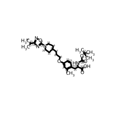 Cc1cc(OCCCC2CCN(c3nc(C(C)C)no3)CC2)ccc1CC(NC(=O)OC(C)(C)C)C(=O)O